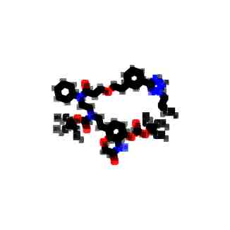 C=CCn1nnc(-c2cccc(CCOCCC(=O)N(CCN(CCc3ccc(OC(=O)OC(C)(C)C)c4c3OCC(=O)N4)C(=O)OC(C)(C)C)C3CCCCC3)c2)n1